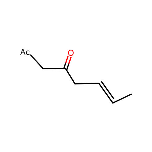 C/C=C/CC(=O)CC(C)=O